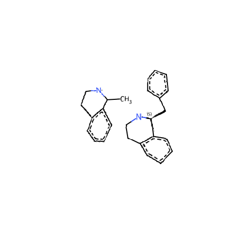 CC1[N]CCc2ccccc21.c1ccc(C[C@@H]2[N]CCc3ccccc32)cc1